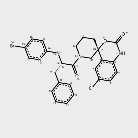 O=C1Nc2ccc(Cl)cc2[C@@]2(CCCN(C(=O)[C@H](Cc3ccccc3)Nc3ccc(Br)cn3)C2)O1